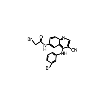 N#Cc1cnc2ccc(NC(=O)CBr)cc2c1Nc1cccc(Br)c1